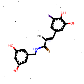 N#C/C(=C\c1cc(O)c(O)c(I)c1)C(=S)NCc1cc(O)cc(O)c1